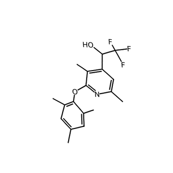 Cc1cc(C)c(Oc2nc(C)cc(C(O)C(F)(F)F)c2C)c(C)c1